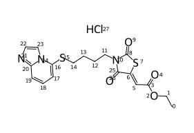 CCOC(=O)/C=C1\SC(=O)N(CCCCSc2cccc3nccn23)C1=O.Cl